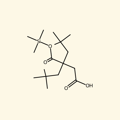 CC(C)(C)CC(CC(=O)O)(CC(C)(C)C)C(=O)O[Si](C)(C)C